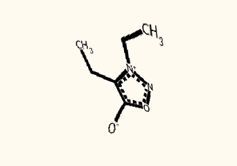 CCc1c([O-])on[n+]1CC